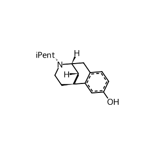 CCC[C@@H](C)N1CC[C@]23CCCC[C@H]2[C@H]1Cc1ccc(O)cc13